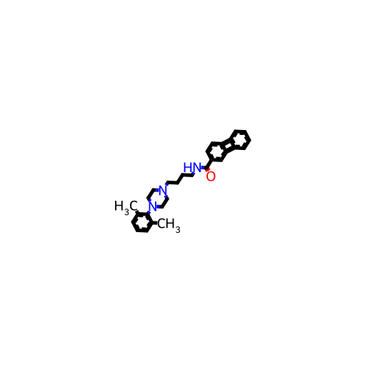 Cc1cccc(C)c1N1CCN(CCCCNC(=O)c2ccc3c(c2)=c2ccccc2=3)CC1